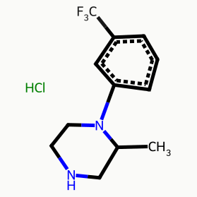 CC1CNCCN1c1cccc(C(F)(F)F)c1.Cl